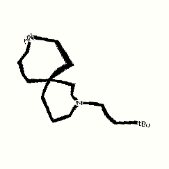 CC(C)(C)CCN1CCCC2(CCNCC2)C1